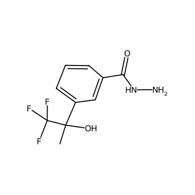 CC(O)(c1cccc(C(=O)NN)c1)C(F)(F)F